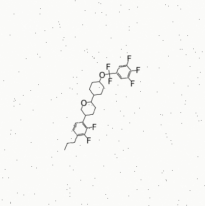 CCCc1ccc(C2CCC(C3CCC(OC(F)(F)c4cc(F)c(F)c(F)c4)CC3)OC2)c(F)c1F